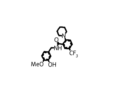 COc1ccc(CNC(=O)c2cc(C(F)(F)F)ccc2N2CCCCC2)cc1O